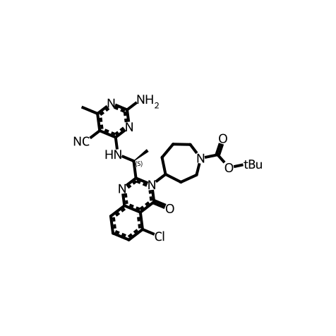 Cc1nc(N)nc(N[C@@H](C)c2nc3cccc(Cl)c3c(=O)n2C2CCCN(C(=O)OC(C)(C)C)CC2)c1C#N